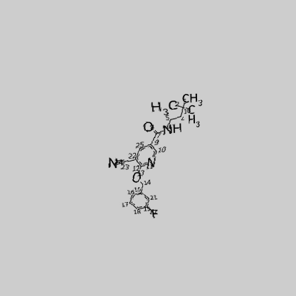 CC(C)(C)CCNC(=O)c1cnc(OCc2cccc(F)c2)c(C#N)c1